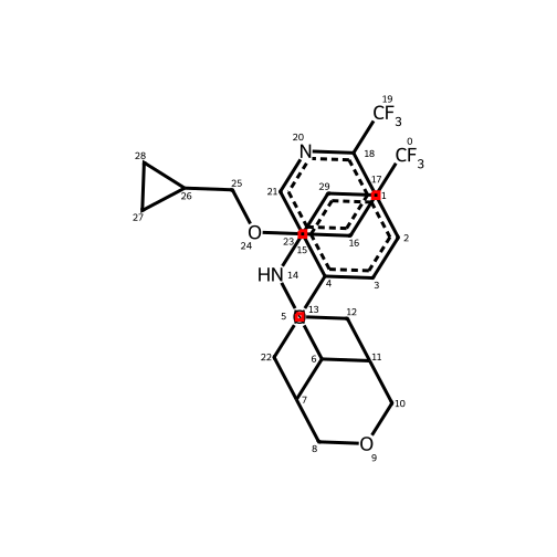 FC(F)(F)c1ccc(OC2C3COCC2CN(Nc2ccc(C(F)(F)F)nc2)C3)c(OCC2CC2)c1